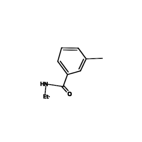 C[CH]NC(=O)c1cccc(C)c1